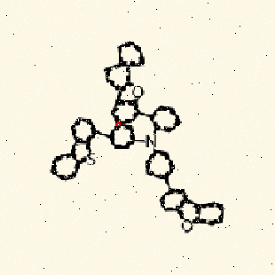 c1ccc(N(c2ccc(-c3ccc4oc5ccccc5c4c3)cc2)c2ccc(-c3cccc4c3sc3ccccc34)cc2)c(-c2cccc3c2oc2c4ccccc4ccc32)c1